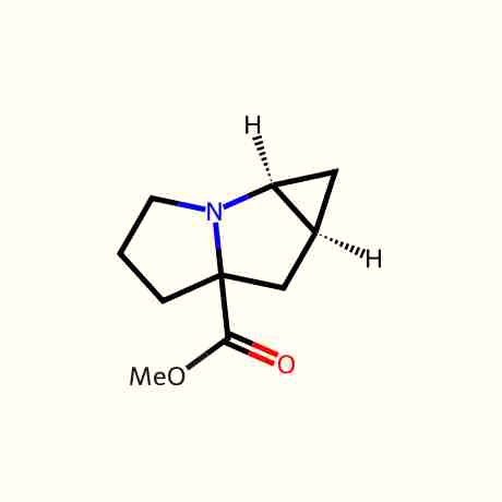 COC(=O)C12CCCN1[C@H]1C[C@H]1C2